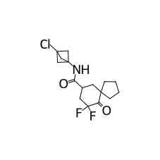 O=C(NC12CC(Cl)(C1)C2)C1CC(F)(F)C(=O)C2(CCCC2)C1